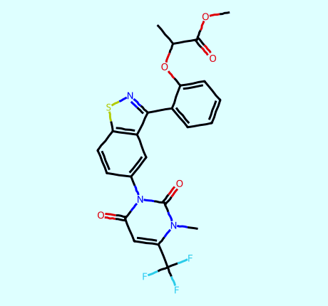 COC(=O)C(C)Oc1ccccc1-c1nsc2ccc(-n3c(=O)cc(C(F)(F)F)n(C)c3=O)cc12